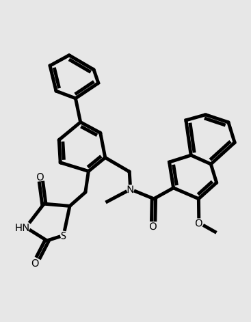 COc1cc2ccccc2cc1C(=O)N(C)Cc1cc(-c2ccccc2)ccc1CC1SC(=O)NC1=O